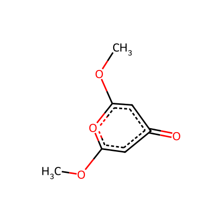 COc1cc(=O)cc(OC)o1